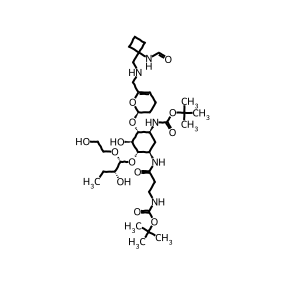 CC[C@@H](O)[C@H](OCCO)O[C@@H]1[C@@H](O)[C@H](O[C@@H]2CCC=C(CNCC3(NC=O)CCC3)O2)[C@@H](NC(=O)OC(C)(C)C)C[C@H]1NC(=O)CCNC(=O)OC(C)(C)C